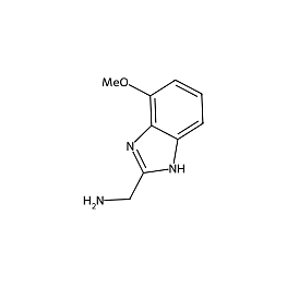 COc1cccc2[nH]c(CN)nc12